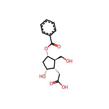 O=C(O)C[C@H]1[C@H](CO)[C@@H](OC(=O)c2ccccc2)C[C@H]1O